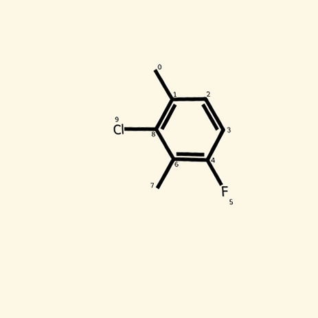 Cc1ccc(F)c(C)c1Cl